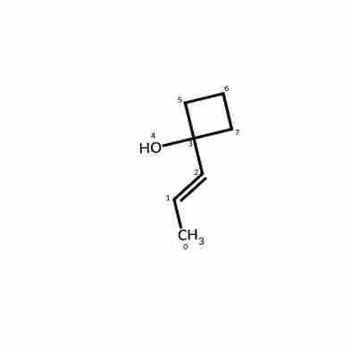 CC=CC1(O)CCC1